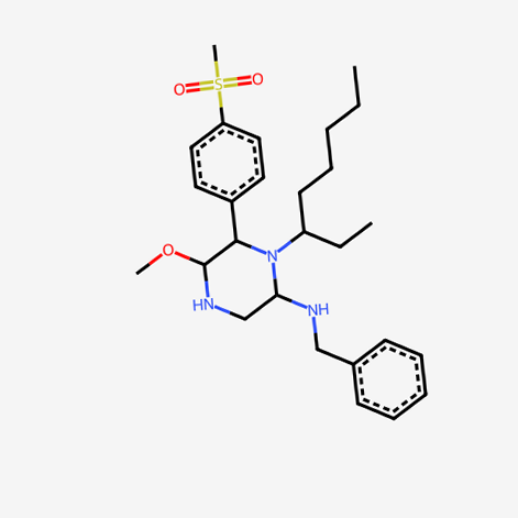 CCCCCC(CC)N1C(NCc2ccccc2)CNC(OC)C1c1ccc(S(C)(=O)=O)cc1